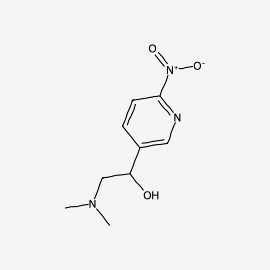 CN(C)CC(O)c1ccc([N+](=O)[O-])nc1